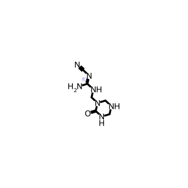 N#C/N=C(\N)NCN1CNCNC1=O